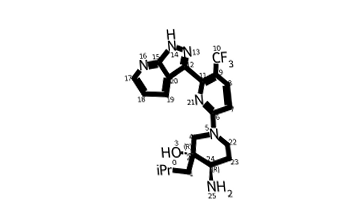 CC(C)C[C@@]1(O)CN(c2ccc(C(F)(F)F)c(-c3n[nH]c4ncccc34)n2)CC[C@H]1N